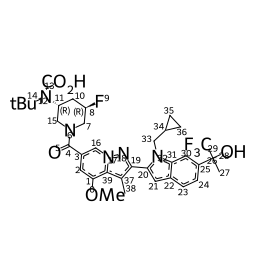 COc1cc(C(=O)N2C[C@H](F)C[C@@H](N(C(=O)O)C(C)(C)C)C2)cn2nc(-c3cc4ccc(C(C)(O)C(F)(F)F)cc4n3CC3CC3)c(C)c12